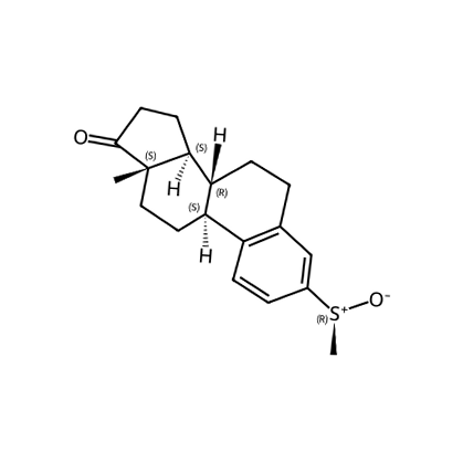 C[S@+]([O-])c1ccc2c(c1)CC[C@@H]1[C@@H]2CC[C@]2(C)C(=O)CC[C@@H]12